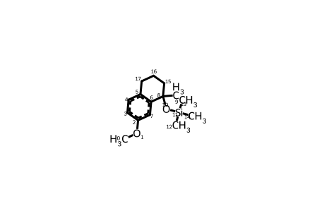 COc1ccc2c(c1)C(C)(O[Si](C)(C)C)CCC2